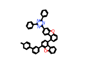 CC1C=CC(c2cccc(-c3ccc(-c4cccc5oc6cc(-c7nc(-c8ccccc8)nc(-c8ccccc8)n7)ccc6c45)c4c3oc3ccccc34)c2)=CC1